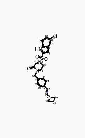 O=C1CN(S(=O)(=O)c2cc3cc(Cl)ccc3[nH]2)CCN1Cc1ccc(/C=N/N2CCC2)cc1